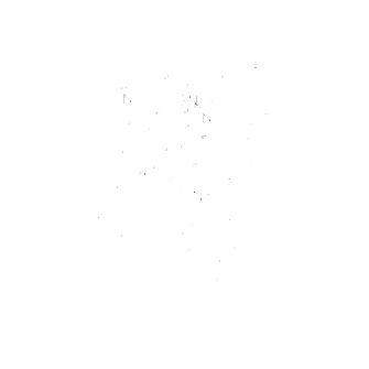 CC(C)(C)c1ccc2c(c1)c1cc(C(C)(C)C)ccc1n2-c1ccc2c3ccccc3n(-c3ccccc3)c2c1-c1cccc(C#N)c1C#N